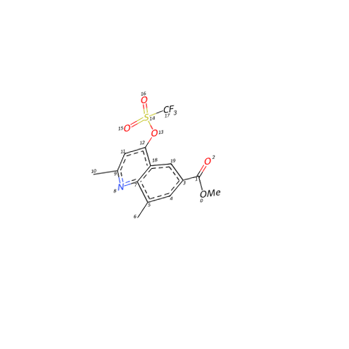 COC(=O)c1cc(C)c2nc(C)cc(OS(=O)(=O)C(F)(F)F)c2c1